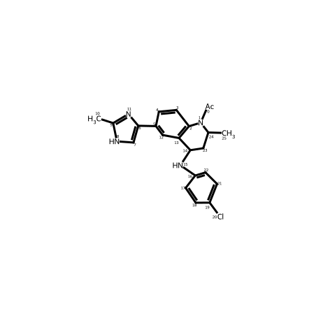 CC(=O)N1c2ccc(-c3c[nH]c(C)n3)cc2C(Nc2ccc(Cl)cc2)CC1C